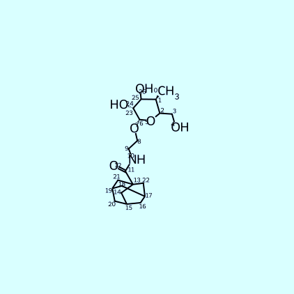 C[C@H]1C(CO)O[C@H](OCCNC(=O)C23CC4CC(CC(C4)C2)C3)[C@H](O)C1O